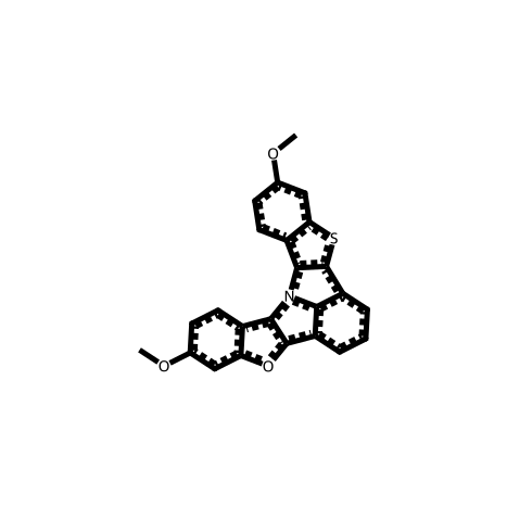 COc1ccc2c(c1)oc1c3cccc4c5sc6cc(OC)ccc6c5n(c34)c21